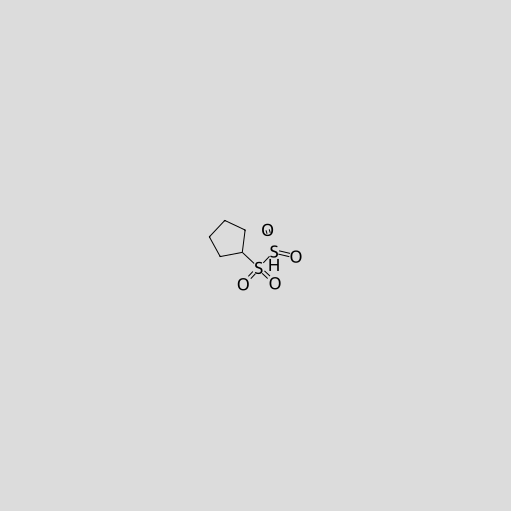 O=[SH](=O)S(=O)(=O)C1CCCC1